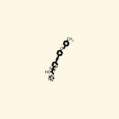 Cc1ccc(COc2ccc(C#Cc3ccc(C(F)(F)C(O)Cn4cnnn4)nc3)cc2)cc1